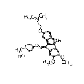 COc1cc2c(cc1OC)-c1[nH]c3ccc(OCCN(C)C)cc3c1C2=NOc1ccc(C)cc1.Cl